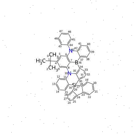 CC(C)(C)c1cc2c3c(c1)N1c4ccccc4[Si]4(c5ccccc5-c5ccccc54)c4cccc(c41)B3c1ccccc1N2c1ccccc1